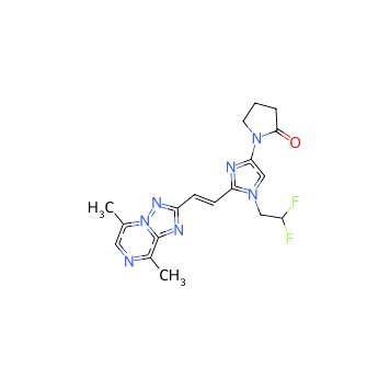 Cc1ncc(C)n2nc(/C=C/c3nc(N4CCCC4=O)cn3CC(F)F)nc12